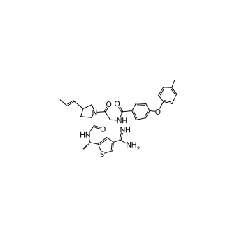 C/C=C/C1C[C@@H](C(=O)N[C@H](C)c2cc(C(=N)N)cs2)N(C(=O)CNC(=O)c2ccc(Oc3ccc(C)cc3)cc2)C1